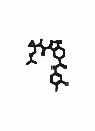 CC(C)OCC1(N(C)C(=O)c2n[nH]c3c2CN(C(=O)Nc2ccc(F)c(Cl)c2)CC3)CC1